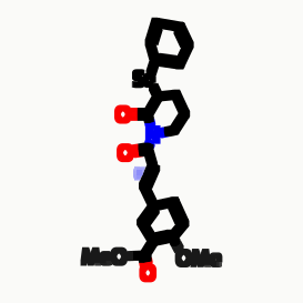 COC(=O)c1cc(/C=C/C(=O)N2CCCC([Se]c3ccccc3)C2=O)ccc1OC